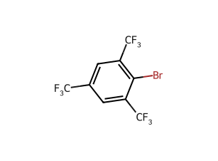 FC(F)(F)c1cc(C(F)(F)F)c(Br)c(C(F)(F)F)c1